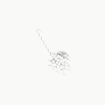 CCCCCCCCCCCCCCCCCCC(C(=O)O)(C1CC(C)(C)N(C)C(C)(C)C1)C(C(=O)O)(C1CC(C)(C)N(C)C(C)(C)C1)C(CC(=O)O)(C(=O)O)C1CC(C)(C)N(C)C(C)(C)C1